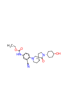 CCOC(=O)Nc1ccc(N2CCC[C@]3(CCN([C@H]4CC[C@H](O)CC4)C3=O)C2)c(C#N)c1